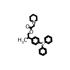 CC(COC(=O)CN1CCCCC1)c1ccc([S+](c2ccccc2)c2ccccc2)cc1